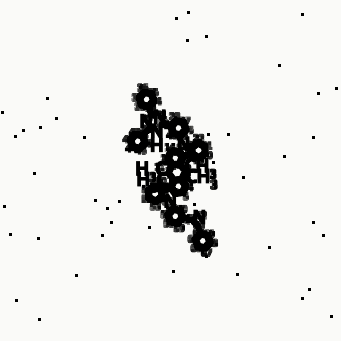 CC1(C)c2ccc3c(c2C(C)(C)c2ccc4c(c21)c1ccccc1n4-c1cccc(C2=NC(c4ccccc4)=NC(c4ccccc4)N2)c1)c1ccccc1n3-c1cccc([C@@H]2N=C2c2ccccc2)c1